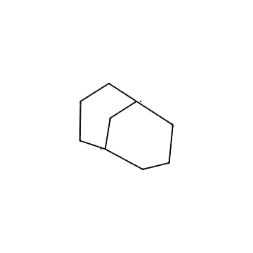 C1C[C]2CCC[C](C1)C2